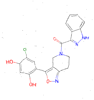 O=C(c1n[nH]c2ccccc12)N1CCc2noc(-c3cc(Cl)c(O)cc3O)c2C1